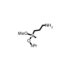 CCCO[Si](C)(CCCN)OC